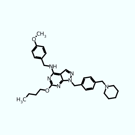 CCCCOc1nc(NCc2ccc(OC)cc2)c2cnn(Cc3ccc(CN4CCCCC4)cc3)c2n1